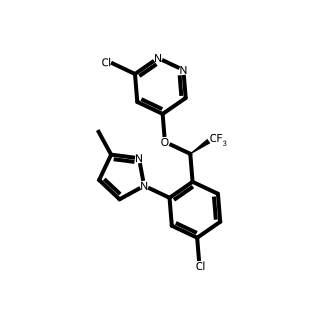 Cc1ccn(-c2cc(Cl)ccc2[C@@H](Oc2cnnc(Cl)c2)C(F)(F)F)n1